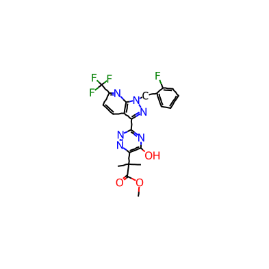 COC(=O)C(C)(C)c1nnc(-c2nn(Cc3ccccc3F)c3nc(C(F)(F)F)ccc23)nc1O